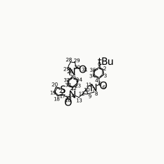 CC(C)(C)c1ccc(C(=O)N2CC3C(C2)C3CN(C(=O)c2cccs2)c2ccc(N3CCCC3=O)cc2)cc1